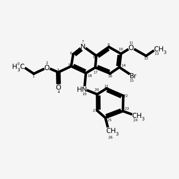 CCOC(=O)c1cnc2cc(OCC)c(Br)cc2c1Nc1ccc(C)c(C)c1